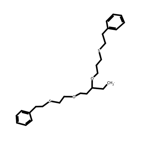 [CH2]CC(CCOCCSCCc1ccccc1)OCCCSCCc1ccccc1